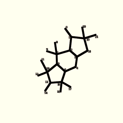 CC1C2C(CC3C(C2(C)C)C(C)(C)C(C)C3(C)C)CC1(C)C